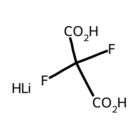 O=C(O)C(F)(F)C(=O)O.[LiH]